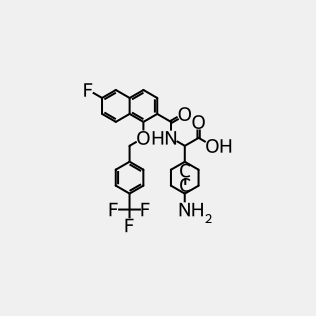 NC12CCC(C(NC(=O)c3ccc4cc(F)ccc4c3OCc3ccc(C(F)(F)F)cc3)C(=O)O)(CC1)CC2